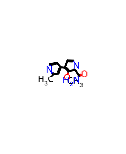 COc1c(-c2ccnc(C)c2)ccnc1C(N)=O